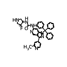 Cc1cc(-c2nn(C(c3ccccc3)(c3ccccc3)c3ccccc3)c3cc(NC(=O)N[C@H]4CNC[C@@H]4F)ncc23)ccn1